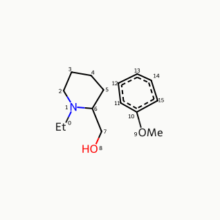 CCN1CCCCC1CO.COc1ccccc1